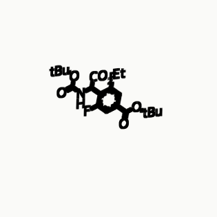 CCOC(=O)C(NC(=O)OC(C)(C)C)c1c(F)cc(C(=O)OC(C)(C)C)cc1F